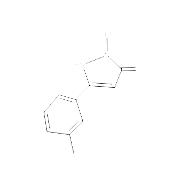 CCCn1[nH]c(-c2cccc(C)c2)cc1=O